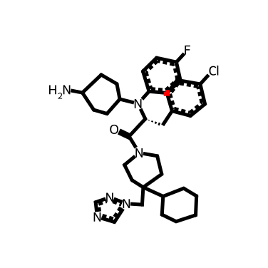 NC1CCC(N(c2ccc(F)cc2)[C@H](Cc2ccc(Cl)cc2)C(=O)N2CCC(Cn3cncn3)(C3CCCCC3)CC2)CC1